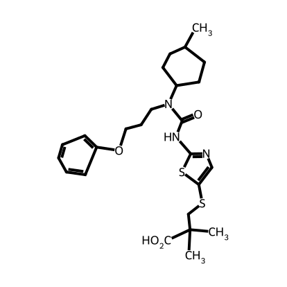 CC1CCC(N(CCCOc2ccccc2)C(=O)Nc2ncc(SCC(C)(C)C(=O)O)s2)CC1